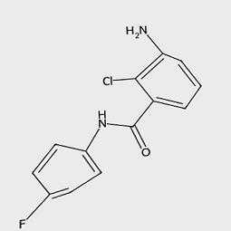 Nc1cccc(C(=O)Nc2ccc(F)cc2)c1Cl